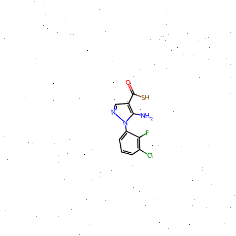 Nc1c(C(=O)S)cnn1-c1cccc(Cl)c1F